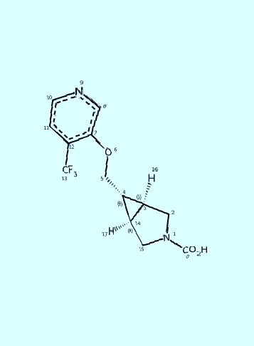 O=C(O)N1C[C@@H]2[C@@H](COc3cnccc3C(F)(F)F)[C@@H]2C1